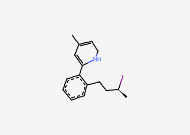 CC1=CCNC(c2ccccc2CC[C@H](C)I)=C1